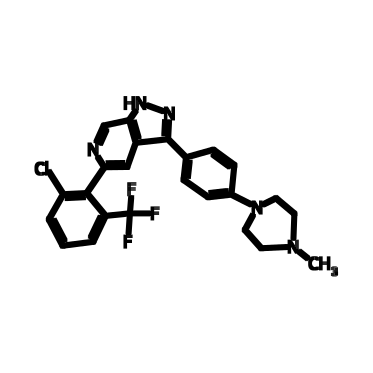 CN1CCN(c2ccc(-c3n[nH]c4cnc(-c5c(Cl)cccc5C(F)(F)F)cc34)cc2)CC1